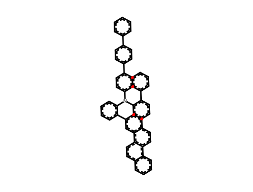 c1ccc(-c2ccc(-c3ccc(N(c4ccccc4-c4ccccc4)c4ccccc4-c4ccc5ccc6c7ccccc7ccc6c5c4)cc3)cc2)cc1